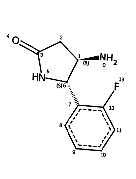 N[C@@H]1CC(=O)N[C@H]1c1ccccc1F